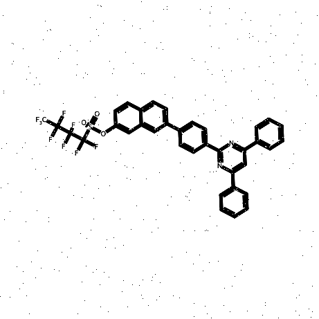 O=S(=O)(Oc1ccc2ccc(-c3ccc(-c4nc(-c5ccccc5)cc(-c5ccccc5)n4)cc3)cc2c1)C(F)(F)C(F)(F)C(F)(F)C(F)(F)F